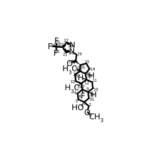 COC[C@@]1(O)CC[C@@]2(F)[C@H](CC[C@H]3[C@@H]4CC[C@H](C(=O)Cn5cc(C(F)(F)F)cn5)[C@@]4(C)CC[C@@]32C)C1